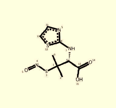 CC(C)(SN=O)[C@H](Nc1nccs1)C(=O)O